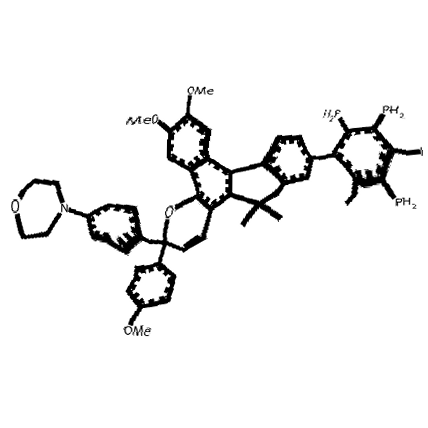 COc1ccc(C2(c3ccc(N4CCOCC4)cc3)C=Cc3c4c(c5cc(OC)c(OC)cc5c3O2)-c2ccc(-c3c(C)c(P)c(I)c(P)c3P)cc2C4(C)C)cc1